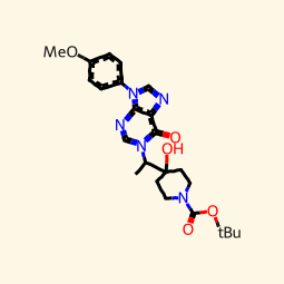 COc1ccc(-n2cnc3c(=O)n(C(C)C4(O)CCN(C(=O)OC(C)(C)C)CC4)cnc32)cc1